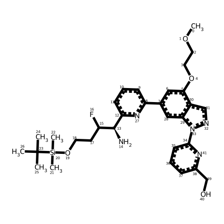 COCCOc1cc(-c2cccc([C@@H](N)C(F)CCO[Si](C)(C)C(C)(C)C)n2)cc2c1cnn2-c1cccc(CO)n1